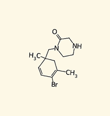 CC1=C(Br)C=CC(C)(CN2CCNCC2=O)C1